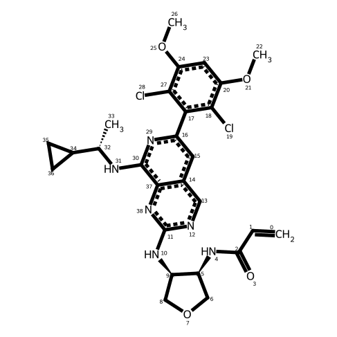 C=CC(=O)N[C@H]1COC[C@H]1Nc1ncc2cc(-c3c(Cl)c(OC)cc(OC)c3Cl)nc(N[C@@H](C)C3CC3)c2n1